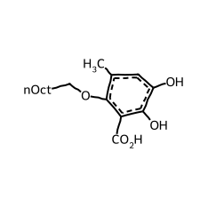 CCCCCCCCCOc1c(C)cc(O)c(O)c1C(=O)O